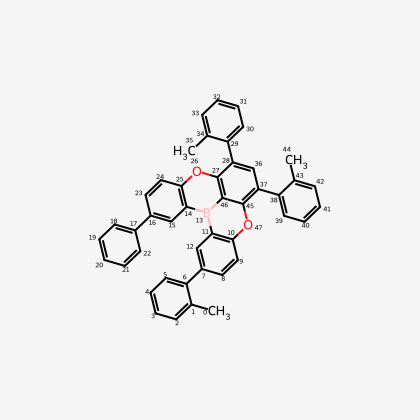 Cc1ccccc1-c1ccc2c(c1)B1c3cc(-c4ccccc4)ccc3Oc3c(-c4ccccc4C)cc(-c4ccccc4C)c(c31)O2